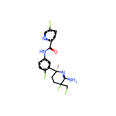 C[C@@]1(c2cc(NC(=O)c3ccc(F)cn3)ccc2F)CC[C@@](F)(CF)C(N)=N1